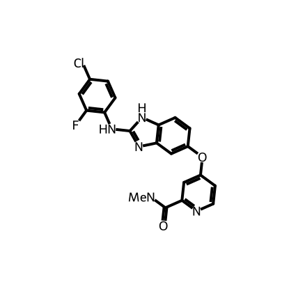 CNC(=O)c1cc(Oc2ccc3[nH]c(Nc4ccc(Cl)cc4F)nc3c2)ccn1